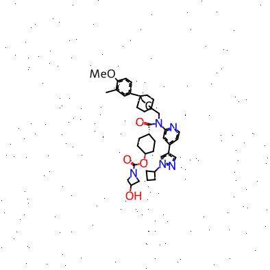 COc1ccc(C23CCC(CN(c4cc(-c5cnn(C6CCC6)c5)ccn4)C(=O)[C@H]4CC[C@H](OC(=O)N5CC(O)C5)CC4)(CC2)CC3)cc1C